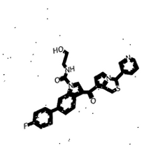 O=C(c1ccn2c1CSC2c1cccnc1)c1cn(C(=O)NCCO)c2cc(-c3ccc(F)cc3)ccc12